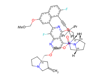 C=C1CN2CCC[C@@]2(COc2cc3c4c(nc(-c5cc(OCOC)cc6ccc(F)c(C#C[Si](C(C)C)(C(C)C)C(C)C)c56)c(F)c4n2)OC[C@@H]2[C@@H]4CC[C@H](CN32)N4C(=O)OC(C)(C)C)C1